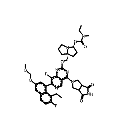 CCc1c(F)ccc2cc(OCOC)cc(-c3ncc4c(N5CC6C(=O)NC(=O)C6C5)nc(OC[C@]56CCCN5[C@@H](OC(=O)N(C)CC)CC6)nc4c3F)c12